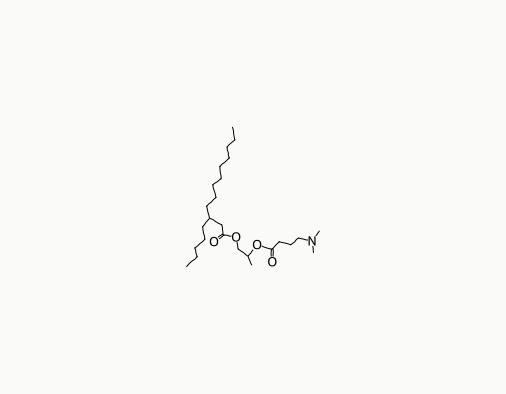 CCCCCCCCCC(CCCCC)CC(=O)OCC(C)OC(=O)CCCN(C)C